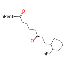 CCCCCC(=O)CCCCC(=O)CCC1CCCCC1CCC